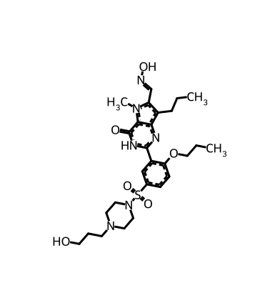 CCCOc1ccc(S(=O)(=O)N2CCN(CCCO)CC2)cc1-c1nc2c(CCC)c(C=NO)n(C)c2c(=O)[nH]1